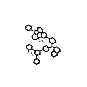 CC1CC=CC=C1c1cc(-c2ccccc2)cc(-c2ccc(N(c3cccc(-c4cccc(C5(C)CC=Cc6c5c5ccccc5n6-c5ccccc5)c4)c3)c3cccc4ccccc34)cc2)c1